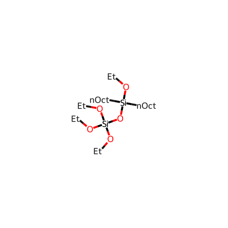 CCCCCCCC[Si](CCCCCCCC)(OCC)O[Si](OCC)(OCC)OCC